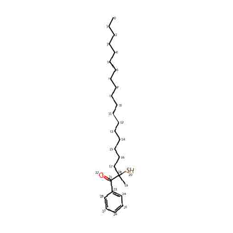 CCCCCCCCCCCCCCCCCCC(C)(S)C(=O)c1ccccc1